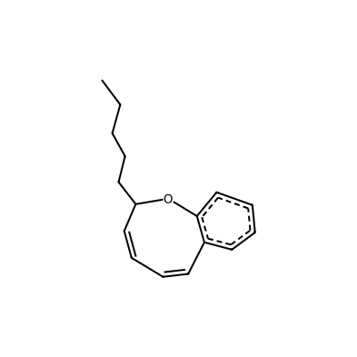 CCCCCC1C=CC=Cc2ccccc2O1